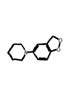 c1cc2c(cc1N1CCCCC1)COO2